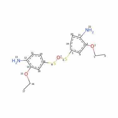 CCOc1cc(SOSc2ccc(N)c(OCC)c2)ccc1N